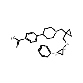 O=C(O)c1ccc(C2CCN(CC3(CN[C@H]4C[C@@H]4c4ccccc4)CC3)CC2)cc1